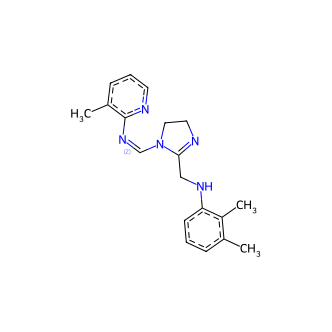 Cc1cccnc1/N=C\N1CCN=C1CNc1cccc(C)c1C